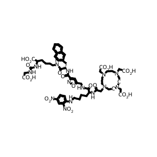 O=C(O)CNC(=O)NC(CCCCNC(=O)[C@H](Cc1ccc2ccccc2c1)NC(=O)c1cc(CNC(=O)C(CCCCNc2ccc([N+](=O)[O-])cc2[N+](=O)[O-])NC(=O)CN2CCN(CC(=O)O)CCN(CC(=O)O)CCN(CC(=O)O)CC2)on1)C(=O)O